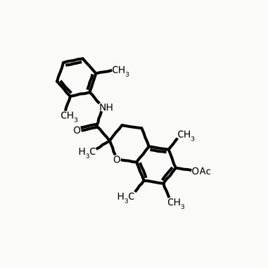 CC(=O)Oc1c(C)c(C)c2c(c1C)CCC(C)(C(=O)Nc1c(C)cccc1C)O2